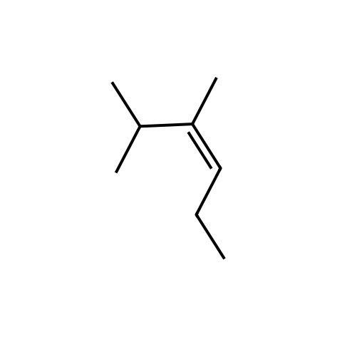 CCC=C(C)C(C)C